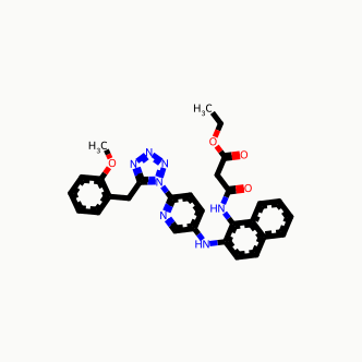 CCOC(=O)CC(=O)Nc1c(Nc2ccc(-n3nnnc3Cc3ccccc3OC)nc2)ccc2ccccc12